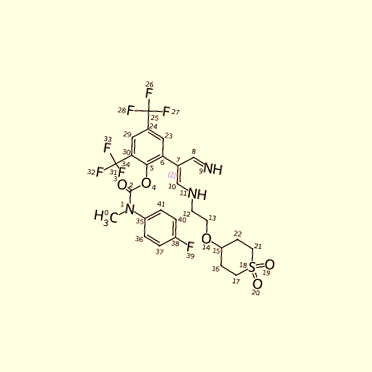 CN(C(=O)Oc1c(/C(C=N)=C/NCCOC2CCS(=O)(=O)CC2)cc(C(F)(F)F)cc1C(F)(F)F)c1ccc(F)cc1